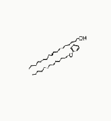 CCCCCCCCC=CCCCCCCCCO.CCCCCCCCCCCCCOc1ccccc1